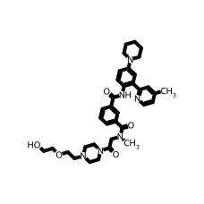 Cc1ccnc(-c2cc(N3CCCCC3)ccc2NC(=O)c2cccc(C(=O)N(C)CC(=O)N3CCN(CCOCCO)CC3)c2)c1